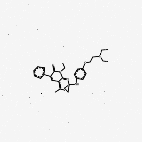 CCN(CC)CCOc1ccc(NC2(/N=C3\C(=C(C)C)C=C(c4ccccc4)C(=O)N3CC)CC2)cc1